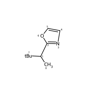 CC(c1ncco1)C(C)(C)C